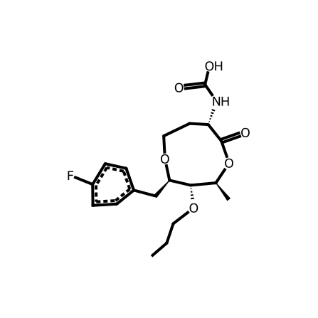 CCCO[C@H]1[C@H](C)OC(=O)[C@@H](NC(=O)O)CCO[C@@H]1Cc1ccc(F)cc1